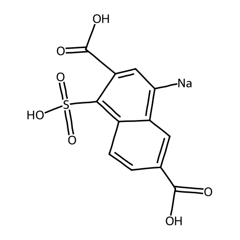 O=C(O)c1ccc2c(S(=O)(=O)O)c(C(=O)O)c[c]([Na])c2c1